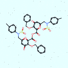 Cc1ccc(N(Cc2cc(=O)c(OCc3ccccc3)c(C(=O)OC(=O)c3oc(CN(c4ccc(C)cc4)[SH](=O)=O)cc(=O)c3OCc3ccccc3)o2)[SH](=O)=O)cc1